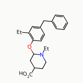 CCc1cc(Cc2ccccc2)ccc1OC1CC(C(=O)O)CCN1CC